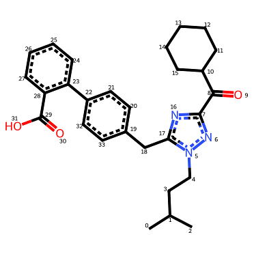 CC(C)CCn1nc(C(=O)C2CCCCC2)nc1Cc1ccc(-c2ccccc2C(=O)O)cc1